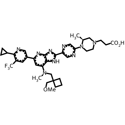 COCC1(CN(C)c2cc(-c3cnc(C4CC4)c(C(F)(F)F)c3)nc3nc(-c4cnc(N5CCN(CCC(=O)O)C[C@@H]5C)cn4)[nH]c23)CCC1